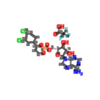 C[C@@]1(O)[C@H](O)[C@@H](COP2(=O)OCC=C(c3ccc(Cl)c(Cl)c3)O2)O[C@H]1n1cnc2c(N)ncnc21.O=C(O)C(F)(F)F